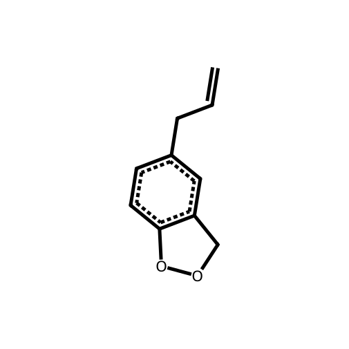 C=CCc1ccc2c(c1)COO2